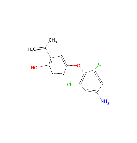 C=C(C)c1cc(Oc2c(Cl)cc(N)cc2Cl)ccc1O